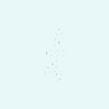 CC1(C)c2ccccc2-c2ccc(-c3c4ccccc4c(-c4ccc5c(c4)c4ccccc4n5-c4ccccc4)c4ccccc34)cc21